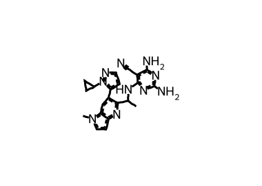 CC(Nc1nc(N)nc(N)c1C#N)c1nc2ccn(C)c2cc1-c1ccnn1C1CC1